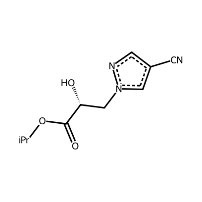 CC(C)OC(=O)[C@H](O)Cn1cc(C#N)cn1